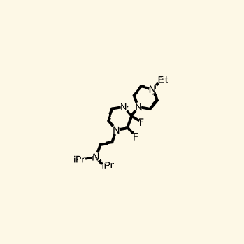 CCN1CCN(C2(F)[N]CCN(CCN(C(C)C)C(C)C)C2F)CC1